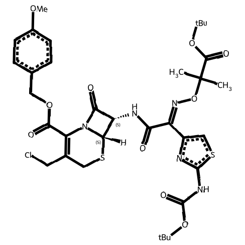 COc1ccc(COC(=O)C2=C(CCl)CS[C@H]3[C@@H](NC(=O)C(=NOC(C)(C)C(=O)OC(C)(C)C)c4csc(NC(=O)OC(C)(C)C)n4)C(=O)N23)cc1